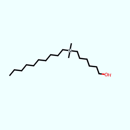 CCCCCCCCCC[Si](C)(C)CCCCCCO